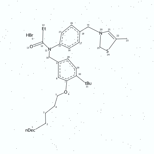 Br.CCCCCCCCCCCCCCOc1cc(CN(C(=O)CC)c2ccc(CN3C=C(C)SC3)cc2)ccc1C(C)(C)C